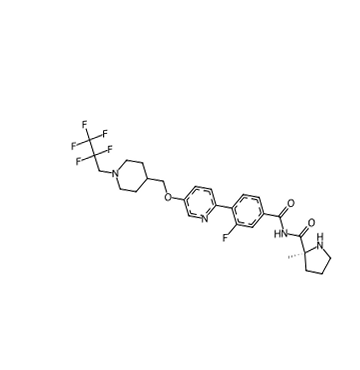 C[C@@]1(C(=O)NC(=O)c2ccc(-c3ccc(OCC4CCN(CC(F)(F)C(F)(F)F)CC4)cn3)c(F)c2)CCCN1